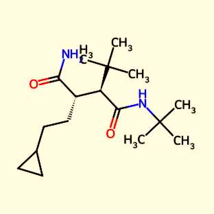 CC(C)(C)NC(=O)[C@@H]([C@H](CCC1CC1)C(N)=O)C(C)(C)C